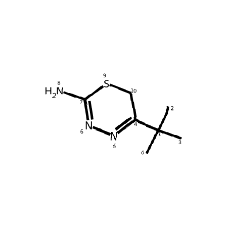 CC(C)(C)C1=NN=C(N)SC1